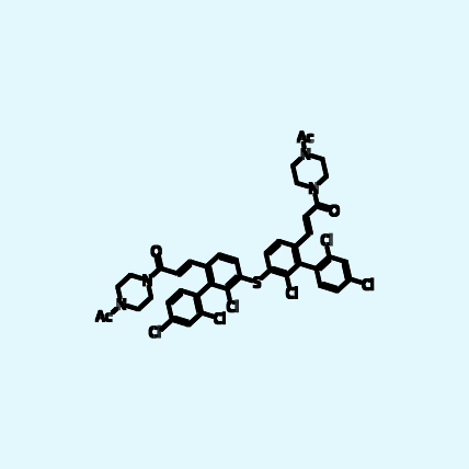 CC(=O)N1CCN(C(=O)/C=C/c2ccc(Sc3ccc(/C=C/C(=O)N4CCN(C(C)=O)CC4)c(-c4ccc(Cl)cc4Cl)c3Cl)c(Cl)c2-c2ccc(Cl)cc2Cl)CC1